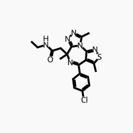 CCNC(=O)CC1(C)N=C(c2ccc(Cl)cc2)c2c(nsc2C)-n2c(C)nnc21